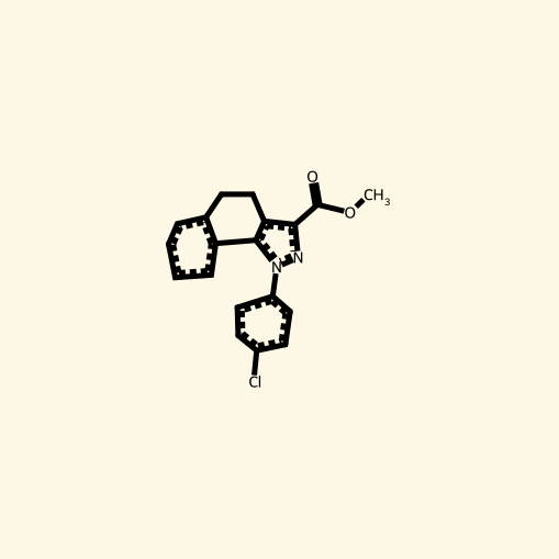 COC(=O)c1nn(-c2ccc(Cl)cc2)c2c1CCc1ccccc1-2